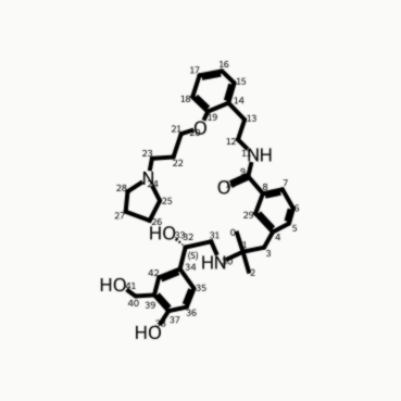 CC(C)(Cc1cccc(C(=O)NCCc2ccccc2OCCCN2CCCC2)c1)NC[C@@H](O)c1ccc(O)c(CO)c1